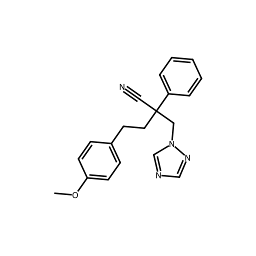 COc1ccc(CCC(C#N)(Cn2cncn2)c2ccccc2)cc1